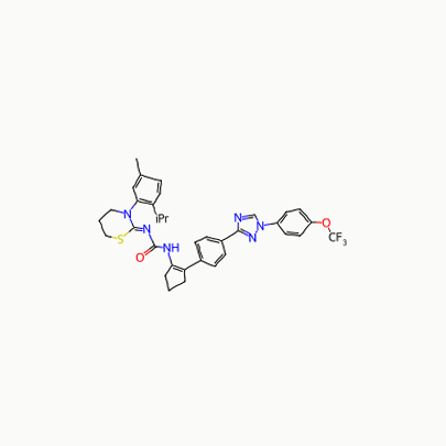 Cc1ccc(C(C)C)c(N2CCCS/C2=N\C(=O)NC2=C(c3ccc(-c4ncn(-c5ccc(OC(F)(F)F)cc5)n4)cc3)CCC2)c1